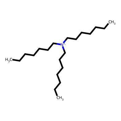 CCCCCCC[N+](CCCCCCC)CCCCCCC